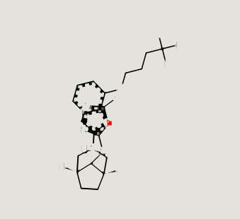 Cc1ncc(N2C[C@H]3CC[C@@H](C2)[C@@H]3Nc2nc3c(OCCCC(F)(F)F)cccn3n2)s1